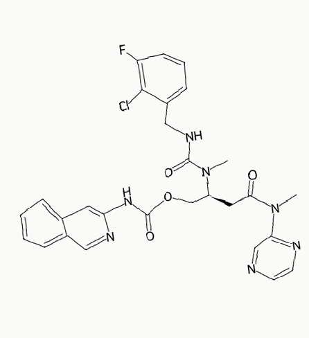 CN(C(=O)C[C@@H](COC(=O)Nc1cc2ccccc2cn1)N(C)C(=O)NCc1cccc(F)c1Cl)c1cnccn1